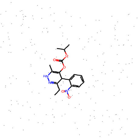 CCC1=NNC(C)=C(OC(=O)OC(C)C)C1c1ccccc1[N+](=O)[O-]